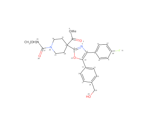 COC(=O)C1(c2nc(-c3ccc(F)cc3)c(-c3ccc(CO)cc3)o2)CCN(C(=O)N(C)O)CC1